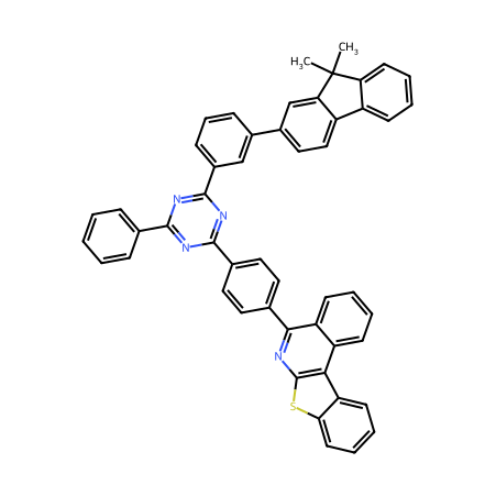 CC1(C)c2ccccc2-c2ccc(-c3cccc(-c4nc(-c5ccccc5)nc(-c5ccc(-c6nc7sc8ccccc8c7c7ccccc67)cc5)n4)c3)cc21